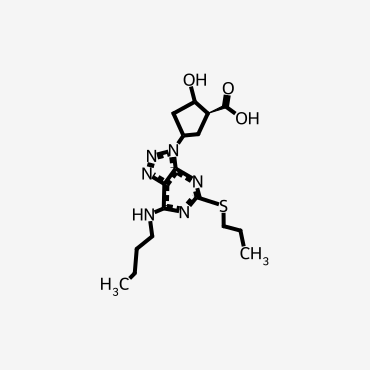 CCCCNc1nc(SCCC)nc2c1nnn2C1CC(O)[C@@H](C(=O)O)C1